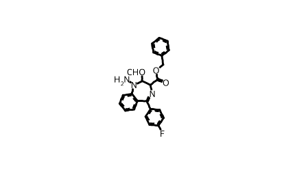 NN1c2ccccc2C(c2ccc(F)cc2)=NC(C(=O)OCc2ccccc2)C1C=O